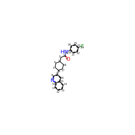 O=C(CC1CCC(c2cnc3ccccc3c2)CC1)Nc1ccc(F)cc1